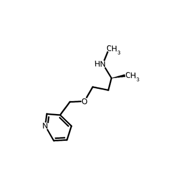 CN[C@@H](C)CCOCc1cccnc1